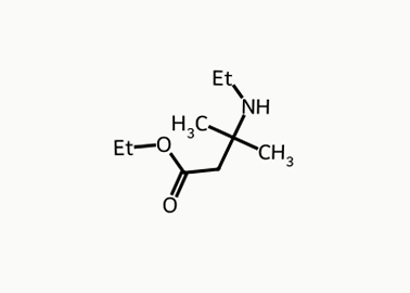 CCNC(C)(C)CC(=O)OCC